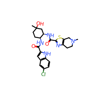 CN1CCc2nc(C(=O)N[C@@H]3CC(C)(O)CC[C@@H]3NC(=O)c3cc4cc(Cl)ccc4[nH]3)sc2C1